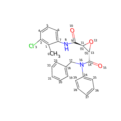 Cc1c(Cl)cccc1NC(=O)[C@H]1O[C@@H]1C(=O)N(Cc1ccccc1)c1ccccc1